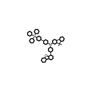 CC1(C)c2ccccc2-c2ccc(N(c3ccc(-c4ccc([Si](c5ccccc5)(c5ccccc5)c5ccccc5)cc4)cc3)c3ccc(-c4cccc5c4oc4ccccc45)cc3)cc21